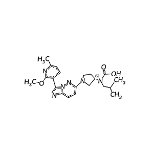 COc1nc(C)ccc1-c1cnc2ccc(N3CC[C@H](N(CC(C)C)C(=O)O)C3)nn12